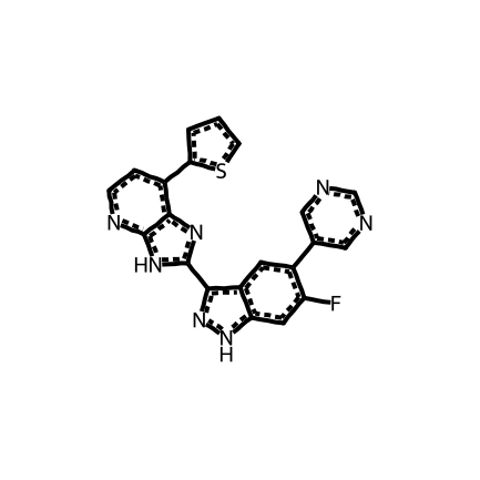 Fc1cc2[nH]nc(-c3nc4c(-c5cccs5)ccnc4[nH]3)c2cc1-c1cncnc1